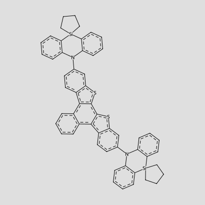 c1ccc2c(c1)N(c1ccc3c(c1)sc1c4sc5cc(N6c7ccccc7[Si]7(CCCC7)c7ccccc76)ccc5c4c4ccccc4c31)c1ccccc1[Si]21CCCC1